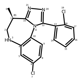 C[C@@H]1CNc2cc(Cl)ccc2-n2c(-c3ccccc3Cl)nnc21